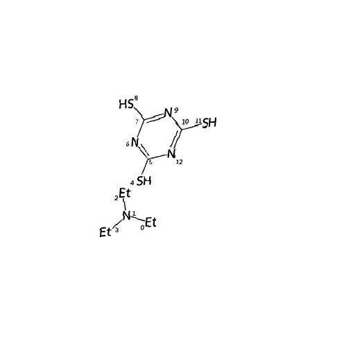 CCN(CC)CC.Sc1nc(S)nc(S)n1